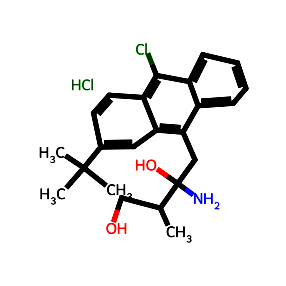 CC(CO)C(N)(O)Cc1c2ccccc2c(Cl)c2ccc(C(C)(C)C)cc12.Cl